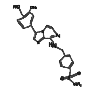 N#Cc1cc(-c2cnc3c(NCc4ccc(S(N)(=O)=O)cc4)nccn23)ccc1O